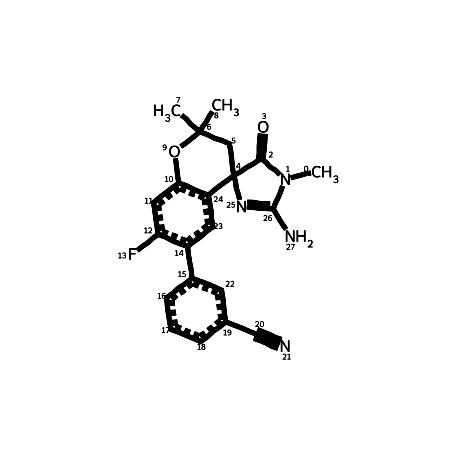 CN1C(=O)C2(CC(C)(C)Oc3cc(F)c(-c4cccc(C#N)c4)cc32)N=C1N